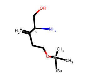 C=C(CCO[Si](C)(C)C(C)(C)C)[C@H](N)CO